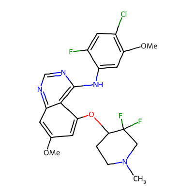 COc1cc(OC2CCN(C)CC2(F)F)c2c(Nc3cc(OC)c(Cl)cc3F)ncnc2c1